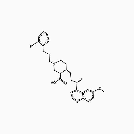 COc1ccc2nccc([C@H](F)CC[C@@H]3CCN(CCCc4ccccc4F)C[C@@H]3C(=O)O)c2c1